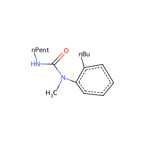 [CH2]CCCc1ccccc1N(C)C(=O)NCCCCC